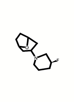 F[C@H]1CCCN(C2CC3CCC(C2)O3)C1